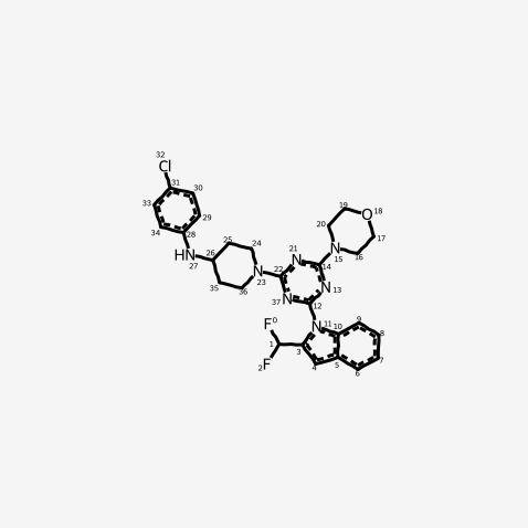 FC(F)c1cc2ccccc2n1-c1nc(N2CCOCC2)nc(N2CCC(Nc3ccc(Cl)cc3)CC2)n1